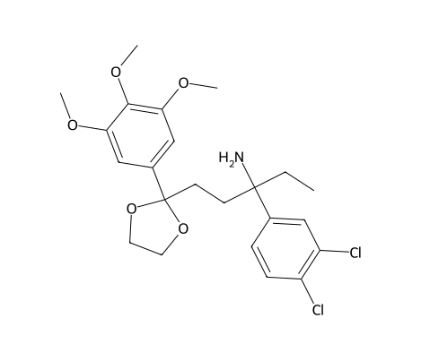 CCC(N)(CCC1(c2cc(OC)c(OC)c(OC)c2)OCCO1)c1ccc(Cl)c(Cl)c1